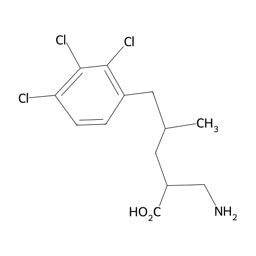 CC(Cc1ccc(Cl)c(Cl)c1Cl)CC(CN)C(=O)O